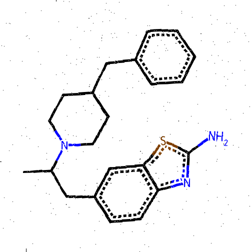 CC(Cc1ccc2nc(N)sc2c1)N1CCC(Cc2ccccc2)CC1